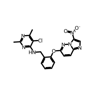 Cc1nc(C)c(Cl)c(NCc2ccccc2Oc2ccc3ncc([N+](=O)[O-])n3n2)n1